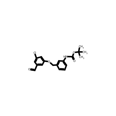 CC(C)(C)OC(=O)Nc1cccc(COc2cc(Cl)cc(C=O)c2)c1